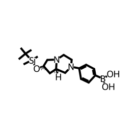 CC(C)(C)[Si](C)(C)O[C@@H]1C[C@H]2CN(c3ccc(B(O)O)cc3)CCN2C1